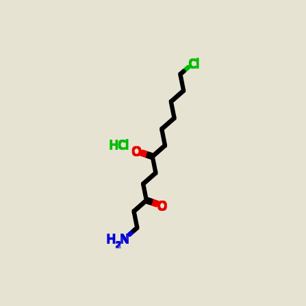 Cl.NCCC(=O)CCC(=O)CCCCCCCl